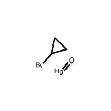 BrC1CC1.[O]=[Hg]